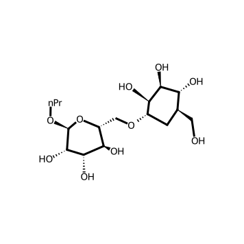 CCCO[C@H]1O[C@H](CO[C@H]2C[C@H](CO)[C@@H](O)[C@H](O)[C@@H]2O)[C@@H](O)[C@H](O)[C@@H]1O